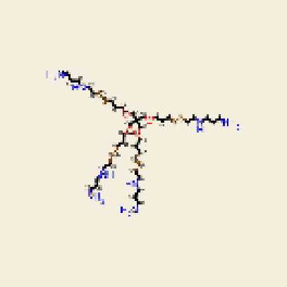 NCCCNCCSSCCCOCC(COCCCSSCCNCCCN)(COCCCSSCCNCCCN)COCCCSSCCNCCCN